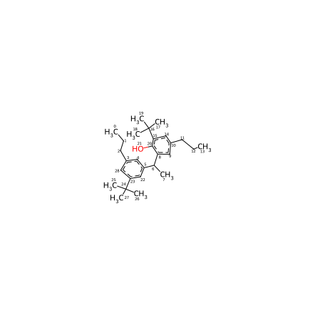 CCCc1cc(C(C)c2cc(CCC)cc(C(C)(C)C)c2O)cc(C(C)(C)C)c1